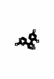 Clc1ccc(-c2n[nH]cc2-c2ccnc(Cl)n2)c(Cl)c1